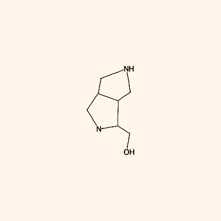 OCC1[N]CC2CNCC21